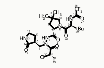 CC1(C)C[C@@H](C(=O)NN(C[C@@H]2CCNC2=O)C(=O)[C@H](F)Cl)N(C(=O)[C@@H](NC(=O)C(F)(F)F)C(C)(C)C)C1